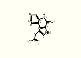 O=C(O)Cc1c[nH]c2c(=O)[nH]c3ccccc3c12